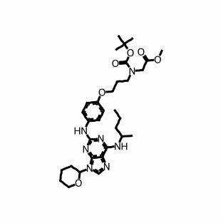 CCCC(C)Nc1nc(Nc2ccc(OCCCN(CC(=O)OC)C(=O)OC(C)(C)C)cc2)nc2c1ncn2C1CCCCO1